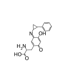 NC(CC1=CC(=NC2CC2c2ccccc2)C(O)=CC1=O)C(=O)O